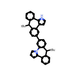 CC(C)(C)C1c2ccc(-c3ccc4c(c3)-n3cccc3-c3ccccc3C4C(C)(C)C)cc2-c2cc[nH]c2-c2ccccc21